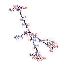 CNC(=O)CCCC(=O)NC(COCCC(=O)NCCCNC(=O)CCCCO[C@@H]1OC(CO)CC(O)[C@@H]1NC(C)=O)(COCCC(=O)NCCCNC(=O)CCCCO[C@@H]1OC(CO)[C@H](O)C(O)[C@@H]1NC(C)=O)COCCC(=O)NCCCNC(=O)CCCCO[C@@H]1OC(CO)[C@H](O)C(O)[C@@H]1NC(C)=O